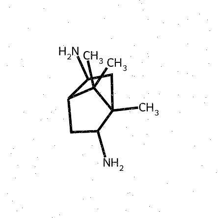 CC1(C)C2CC(N)C1(C)CC2N